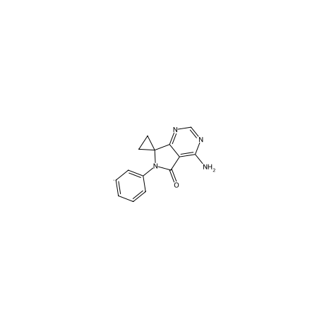 Nc1ncnc2c1C(=O)N(c1c[c]ccc1)C21CC1